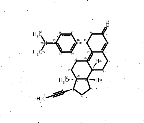 CC#C[C@@H]1CC[C@H]2[C@@H]3CCC4=CC(=O)C[C@@H](c5ccc(N(C)C)cc5)C4=C3CC[C@]12C